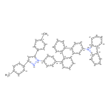 Cc1ccc(-c2cc(-c3ccc(C)cc3)n(-c3ccc(-c4ccccc4-c4ccccc4-c4ccc(-n5c6ccccc6c6ccccc65)cc4)cc3)n2)cc1